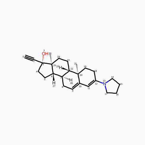 C#C[C@]1(O)CC[C@H]2[C@@H]3CC=C4C=C(N5CCCC5)CC[C@]4(C)[C@H]3CC[C@@]21C